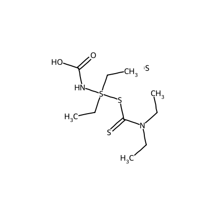 CCN(CC)C(=S)SS(CC)(CC)NC(=O)O.[S]